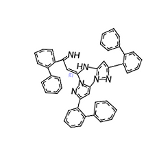 N=C(/C=C1\Nc2cc(-c3ccccc3-c3ccccc3)nn2-c2cc(-c3ccccc3-c3ccccc3)nn21)c1ccccc1-c1ccccc1